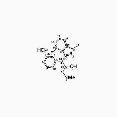 CNC[C@@H](O)[C@H](c1ccccc1)n1cc(C)c2cccc(F)c21.Cl